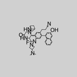 CN(C)C1CN(C2(F)N=c3cc(-c4cc(O)cc5ccccc45)c(CCC#N)cc3=C3C2NC(=O)CN3C2C3CNC2C3)C1